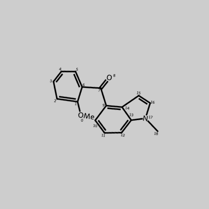 COc1ccccc1C(=O)c1cccc2c1ccn2C